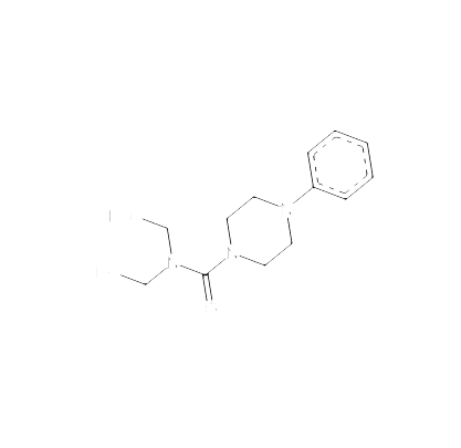 CCN(CC)C(=O)N1CCN(c2ccccc2)CC1